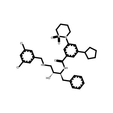 O=C(N[C@@H](Cc1ccccc1)[C@H](O)CNCc1cc(Cl)cc(Cl)c1)c1cc(C2CCCC2)cc(N2CCCCS2(=O)=O)c1